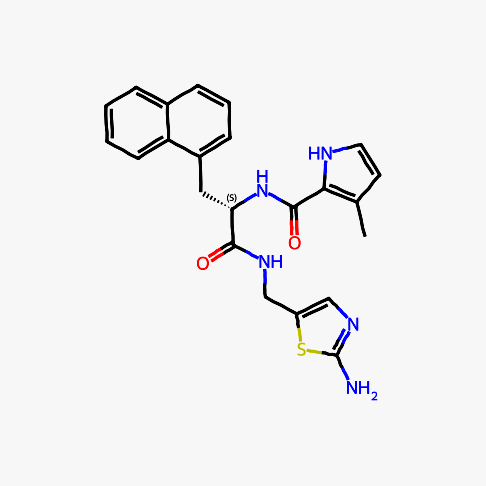 Cc1cc[nH]c1C(=O)N[C@@H](Cc1cccc2ccccc12)C(=O)NCc1cnc(N)s1